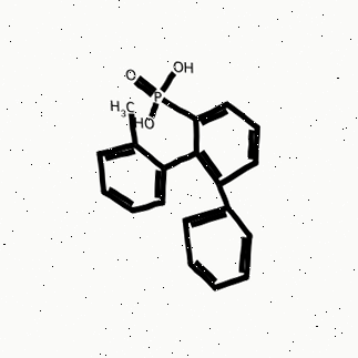 Cc1ccccc1-c1c(-c2ccccc2)cccc1P(=O)(O)O